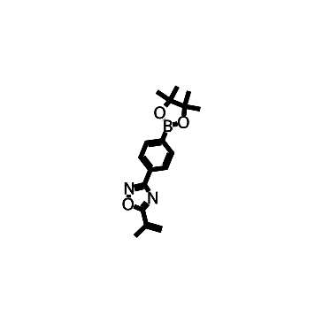 C=C(C)c1nc(-c2ccc(B3OC(C)(C)C(C)(C)O3)cc2)no1